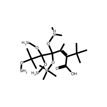 CC(=C(C(=O)O)C(C)(C)C)C(O[SiH](C)C)(O[Si](C)(C)C)C(O[SiH3])(O[SiH3])C(C)(C)O[SiH3]